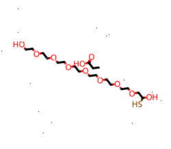 CCC(=O)O.OCCOCCOCCOCCOCCOCCOCCOCC(O)S